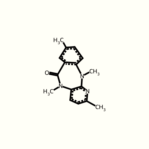 Cc1ccc2c(c1)C(=O)N(C)c1ccc(C)nc1N2C